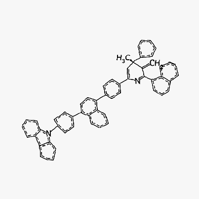 C=C1C(c2cccc3ccccc23)=NC(c2ccc(-c3ccc(-c4ccc(-n5c6ccccc6c6ccccc65)cc4)c4ccccc34)cc2)=C[C@]1(C)c1ccccc1